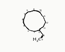 C=C[C]1CCCCCCCCCCC1